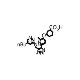 CCCCc1cnnc(NCc2c(-c3ccc(O[C@H]4CCC[C@H](C(=O)O)C4)c(C)n3)nnn2C)c1